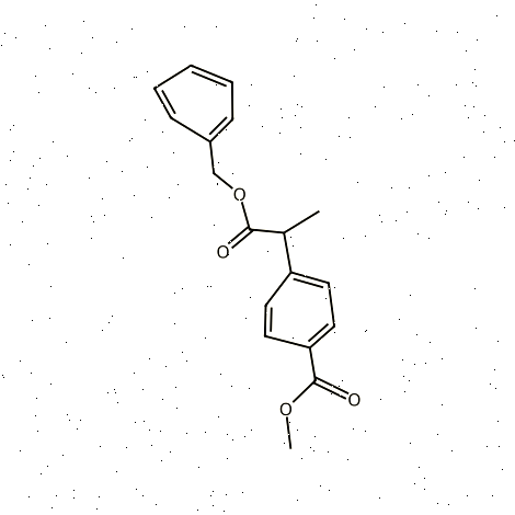 COC(=O)c1ccc(C(C)C(=O)OCc2ccccc2)cc1